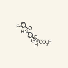 O=C(O)CNS(=O)(=O)c1ccc(NC(=O)c2cccc(F)c2)cc1